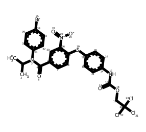 CC(C)N(C(=O)c1ccc(Sc2ccc(NC(=O)OCC(Cl)(Cl)Cl)cc2)c([N+](=O)[O-])c1)c1ccc(Br)cc1